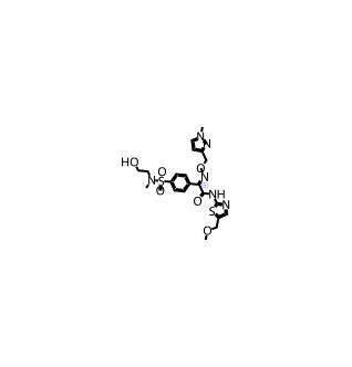 COCc1cnc(NC(=O)/C(=N/OCc2ccn(C)n2)c2ccc(S(=O)(=O)N(C)CCO)cc2)s1